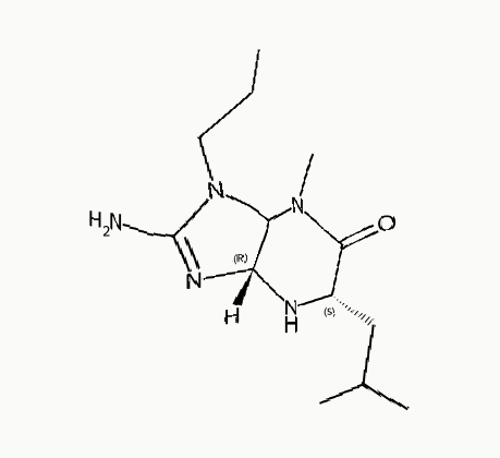 CCCN1C(N)=N[C@H]2N[C@@H](CC(C)C)C(=O)N(C)C21